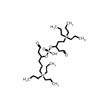 CCC[N+](CCC)(CCC)CCCC(CC=O)OP(=O)(O)OC(CC=O)CC[N+](CCC)(CCC)CCC